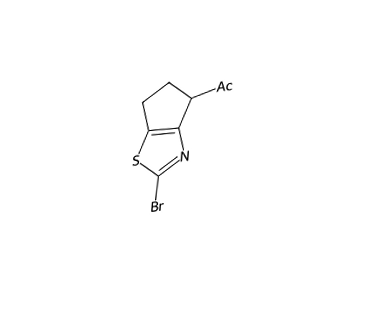 CC(=O)C1CCc2sc(Br)nc21